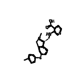 Cc1ccc(Sc2ccc3c(c2)CN(C)[C@@H]3CNc2cnccc2C(=O)O)cc1